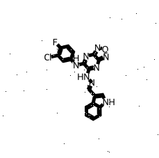 Fc1ccc(Nc2nc3nonc3nc2NN=Cc2c[nH]c3ccccc23)cc1Cl